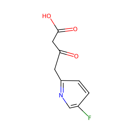 O=C(O)CC(=O)Cc1ccc(F)cn1